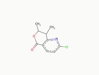 CC1OC(=O)c2ccc(Cl)nc2C1C